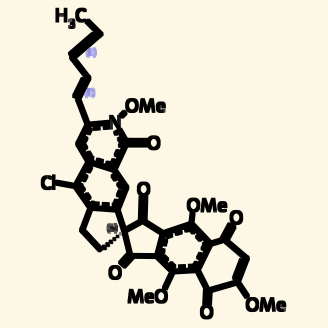 C/C=C/C=C/c1cc2c(Cl)c3c(cc2c(=O)n1OC)[C@@]1(CC3)C(=O)c2c(OC)c3c(c(OC)c2C1=O)C(=O)C(OC)=CC3=O